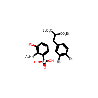 CC(=O)Nc1c(O)cccc1[As](=O)(O)O.CCOC(=O)C(Cc1ccc(CC)c(CC)c1)C(=O)OCC